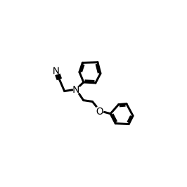 N#CCN(CCOc1ccccc1)c1ccccc1